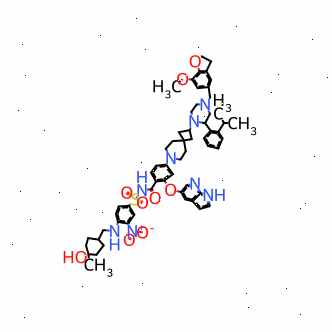 COc1cc(CN2CCN(C3CC4(CCN(c5ccc(C(=O)NS(=O)(=O)c6ccc(NCC7CCC(C)(O)CC7)c([N+](=O)[O-])c6)c(Oc6cnc7[nH]ccc7c6)c5)CC4)C3)C(c3ccccc3C(C)C)C2)cc2c1OCC2